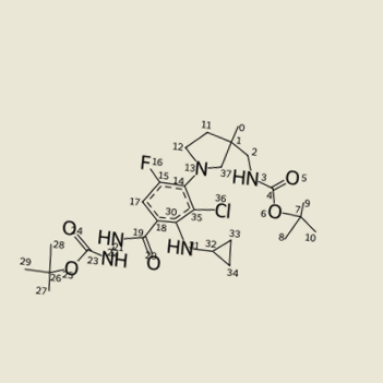 CC1(CNC(=O)OC(C)(C)C)CCN(c2c(F)cc(C(=O)NNC(=O)OC(C)(C)C)c(NC3CC3)c2Cl)C1